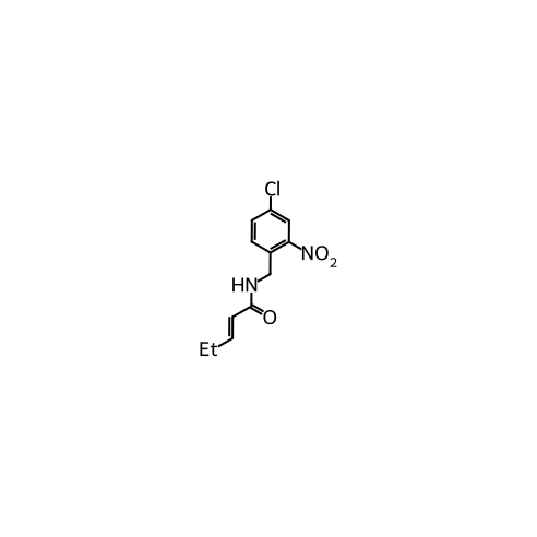 [CH2]CC=CC(=O)NCc1ccc(Cl)cc1[N+](=O)[O-]